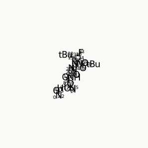 CN(C)C(=O)/C=C/CC[C@H](OC(O)N(C)C)C(=O)Nc1ccnn(Cc2nc3c(CC(C)(C)C)cc(F)cc3n2C(=O)OC(C)(C)C)c1=O